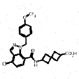 O=C(NC1CC2(C1)CC(C(=O)O)C2)c1ccc(Cl)c2cnn(Cc3ccc(OC(F)(F)F)cc3)c12